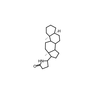 C[C@]12CCC3C(CC[C@@H]4CCCC[C@]34C)C1CCC2C1CCC(=O)N1